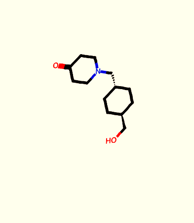 O=C1CCN(C[C@H]2CC[C@H](CO)CC2)CC1